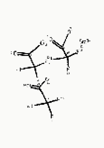 O=C([O-])C(F)(F)F.O=C([O-])C(F)(F)F.O=C([O-])C(F)(F)F.[Sm+3]